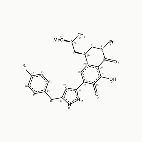 CO[C@@H](C)C[C@H]1CN(C(C)C)C(=O)c2c(O)c(=O)c(-c3nnc(Cc4ccc(F)cc4)s3)cn21